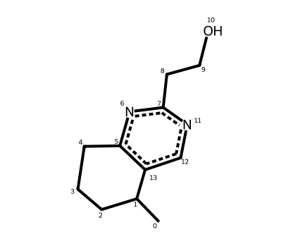 CC1CCCc2nc(CCO)ncc21